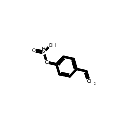 C=Cc1ccc(O[PH](=O)O)cc1